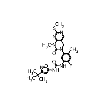 CSc1ncc2c(n1)N(C)C(=O)N(c1cc(NC(=O)Nc3cc(C(C)(C)C)no3)c(F)cc1C)C2